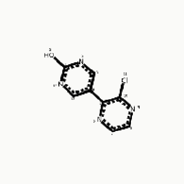 Oc1ncc(-c2nccnc2Cl)cn1